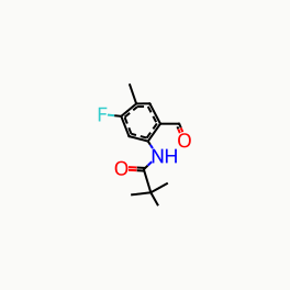 Cc1cc(C=O)c(NC(=O)C(C)(C)C)cc1F